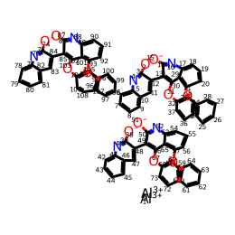 [Al+3].[Al+3].[O-]c1nc2ccccc2cc1-c1c([O-])nc2cccc(Oc3ccccc3)c2c1Oc1ccccc1.[O-]c1nc2ccccc2cc1-c1c([O-])nc2cccc(Oc3ccccc3)c2c1Oc1ccccc1.[O-]c1nc2ccccc2cc1-c1c([O-])nc2cccc(Oc3ccccc3)c2c1Oc1ccccc1